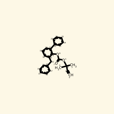 C#CC(C)(C)OC(=O)Oc1c(Cc2ccccc2)cccc1-c1ccccc1